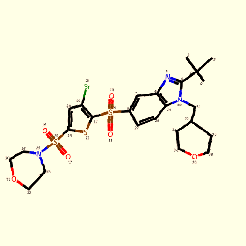 CC(C)(C)c1nc2cc(S(=O)(=O)c3sc(S(=O)(=O)N4CCOCC4)cc3Br)ccc2n1CC1CCOCC1